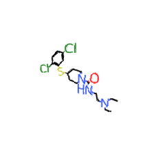 CCN(CC)CCNC(=O)N1CCC(Sc2cc(Cl)ccc2Cl)CC1